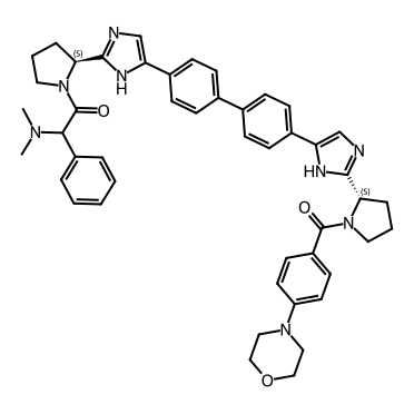 CN(C)C(C(=O)N1CCC[C@H]1c1ncc(-c2ccc(-c3ccc(-c4cnc([C@@H]5CCCN5C(=O)c5ccc(N6CCOCC6)cc5)[nH]4)cc3)cc2)[nH]1)c1ccccc1